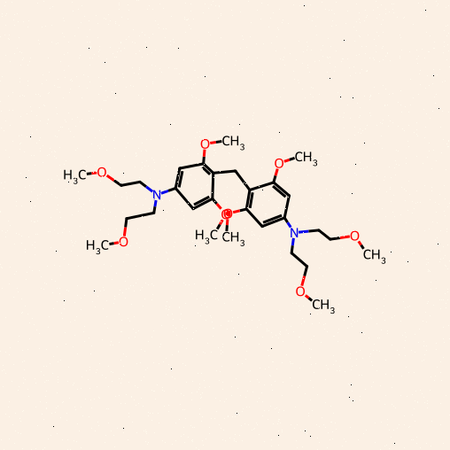 COCCN(CCOC)c1cc(OC)c(Cc2c(OC)cc(N(CCOC)CCOC)cc2OC)c(OC)c1